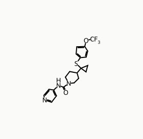 O=C(Nc1ccncc1)N1CCC(C2(Sc3ccc(OC(F)(F)F)cc3)CC2)CC1